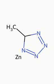 CC1N=NN=N1.[Zn]